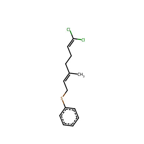 C/C(=C\CSc1ccccc1)CCC=C(Cl)Cl